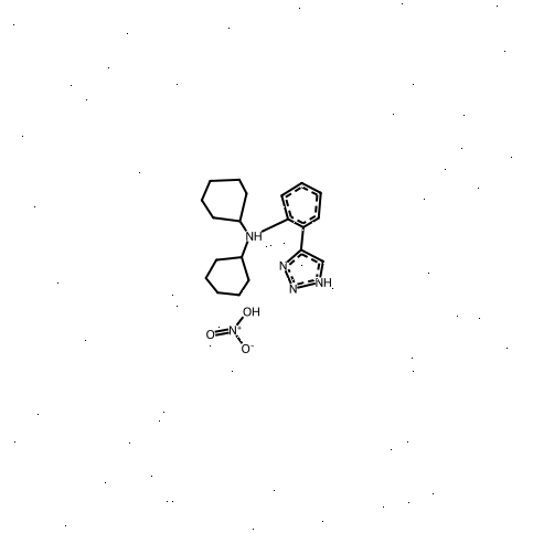 C1CCC(NC2CCCCC2)CC1.Cc1ccccc1-c1c[nH]nn1.O=[N+]([O-])O